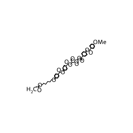 C=CC(=O)OCCCCCCOc1ccc(C(=O)Oc2ccc(C(=O)O[C@H]3COC4C3OC[C@@H]4OC(=O)c3ccc(OC(=O)c4ccc(OC)cc4)cc3)cc2)cc1